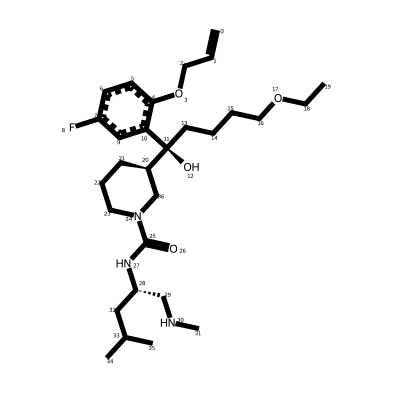 C=CCOc1ccc(F)cc1[C@](O)(CCCCOCC)[C@@H]1CCCN(C(=O)N[C@H](CNC)CC(C)C)C1